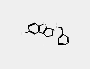 C[C@@H](N[C@@H]1CCc2c1[nH]c1ccc(Br)cc21)c1ccccc1.Cl